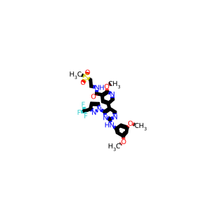 COc1cc(Nc2ncc(-c3cnc(OC)c(C(=O)NCCS(C)(=O)=O)c3)c(-n3ccc(C(F)(F)F)n3)n2)cc(OC)c1